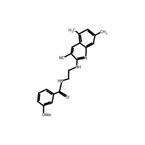 COc1cccc(C(=O)NCCNc2nc3cc(C)cc(C)c3cc2C#N)c1